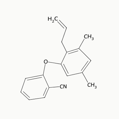 C=CCc1c(C)cc(C)cc1Oc1ccccc1C#N